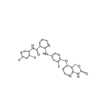 O=C1Nc2nccc(Oc3ccc(Nc4ncccc4C(=O)Nc4ccc(F)cc4F)cc3F)c2CO1